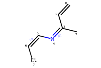 C=C/C(C)=N\C=C/CC